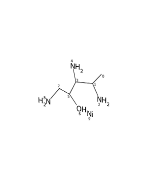 CC(N)C(N)C(O)CN.[Ni]